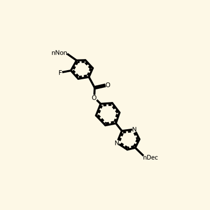 CCCCCCCCCCc1cnc(-c2ccc(OC(=O)c3ccc(CCCCCCCCC)c(F)c3)cc2)nc1